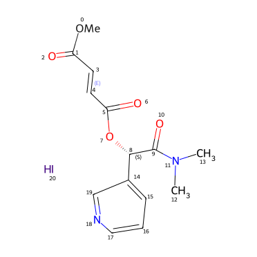 COC(=O)/C=C/C(=O)O[C@H](C(=O)N(C)C)c1cccnc1.I